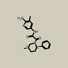 Cc1cc(NC(=O)C(=O)N2C[C@H](C)CC[C@@H]2c2ccccc2)cnc1N